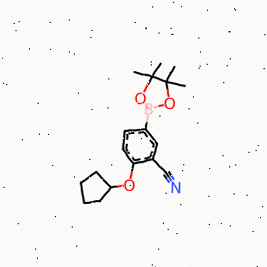 CC1(C)OB(c2ccc(OC3CCCC3)c(C#N)c2)OC1(C)C